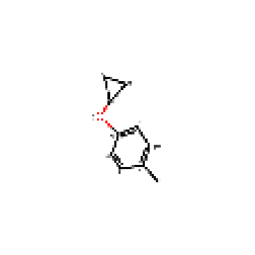 Cc1[c]cc(OC2CC2)cc1